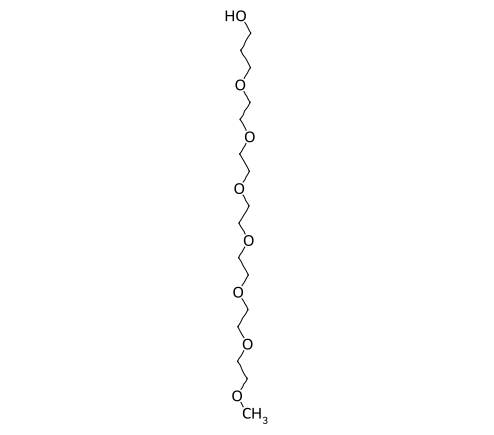 COCCOCCOCCOCCOCCOCCOCCCO